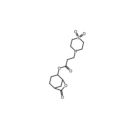 O=C(CCN1CCS(=O)(=O)CC1)OC1CCC2CC1OC2=O